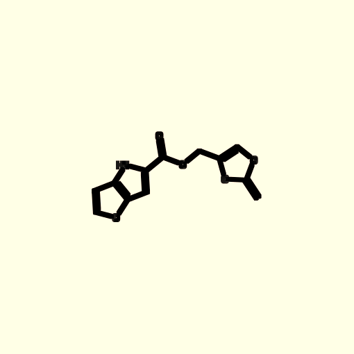 C=C1OC=C(COC(=O)c2cc3occc3[nH]2)O1